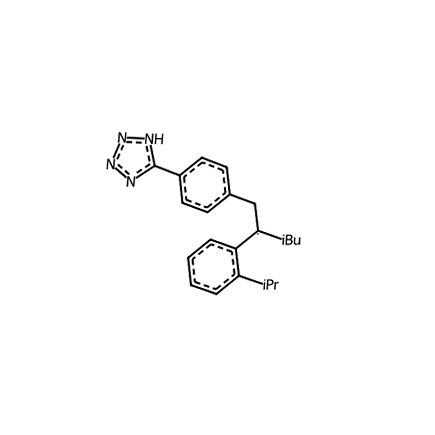 CCC(C)[C](Cc1ccc(-c2nnn[nH]2)cc1)c1ccccc1C(C)C